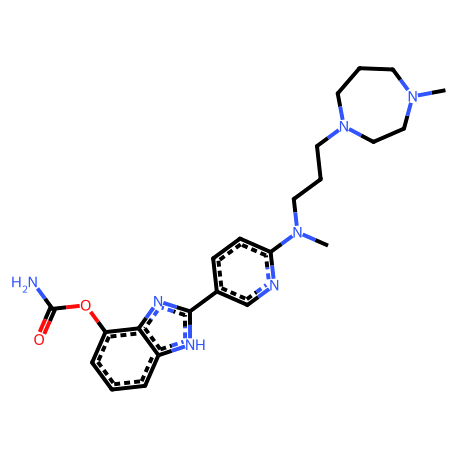 CN1CCCN(CCCN(C)c2ccc(-c3nc4c(OC(N)=O)cccc4[nH]3)cn2)CC1